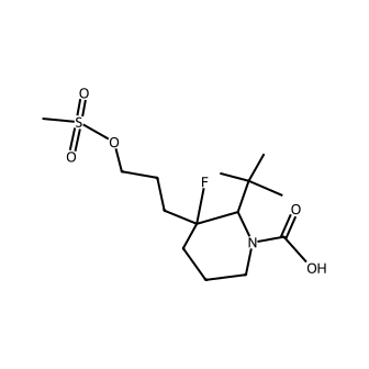 CC(C)(C)C1N(C(=O)O)CCCC1(F)CCCOS(C)(=O)=O